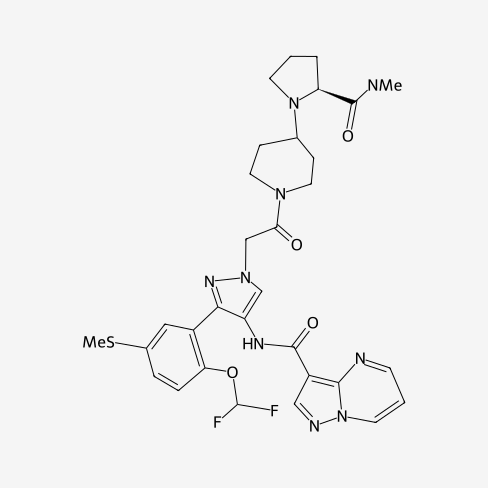 CNC(=O)[C@@H]1CCCN1C1CCN(C(=O)Cn2cc(NC(=O)c3cnn4cccnc34)c(-c3cc(SC)ccc3OC(F)F)n2)CC1